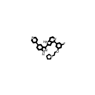 Fc1cc(OCCN2CCCC2)cc(-c2nccc3[nH]c(-c4n[nH]c5ccc(-c6ccncc6)cc45)cc23)c1